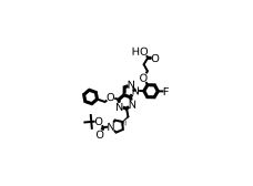 CC(C)(C)OC(=O)N1CC[C@H](Cc2nc(OCc3ccccc3)c3cnn(-c4ccc(F)cc4OCCC(=O)O)c3n2)C1